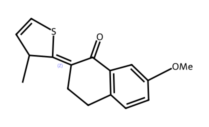 COc1ccc2c(c1)C(=O)/C(=C1\SC=CC1C)CC2